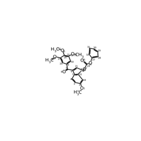 COc1ccc2c(C(=O)c3cc(OC)c(OC)c(OC)c3)cn(OC(=O)Oc3ccccc3)c2c1